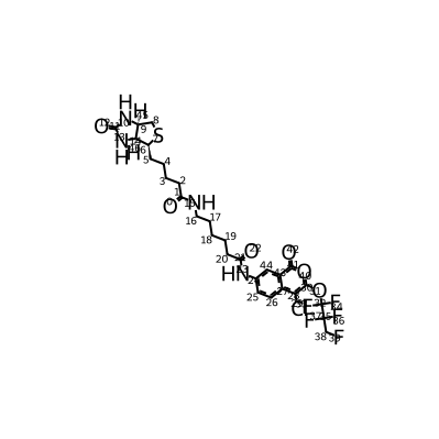 O=C(CCCC[C@@H]1SC[C@@H]2NC(=O)N[C@@H]21)NCCCCCC(=O)Nc1ccc2c(Cl)c(OC(F)(F)C(F)(F)CF)oc(=O)c2c1